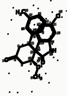 CO[C@H]1CC(=O)C[C@@H](c2cccc(C)c2)[C@]12C(=O)Nc1cc(Cl)ccc12